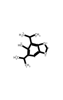 CC(C)c1cc2c(c(C(C)C)c1O)OCO2